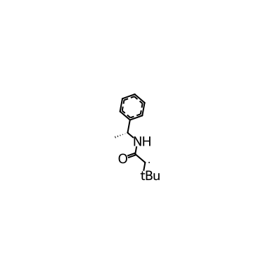 C[C@@H](NC(=O)[CH]C(C)(C)C)c1ccccc1